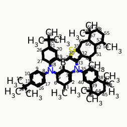 CC1C=C2C3=C(C1)N(c1ccc(C(C)(C)C)cc1)C1=C(C=C(C(C)(C)C)CC1)B3c1sc3c(c1N2c1ccc2c(c1)C(C)(C)CCC2(C)C)C(C)CC1C(C)CCC(C)(C)C1C3